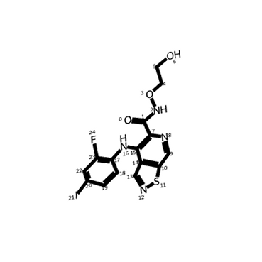 O=C(NOCCO)c1ncc2sncc2c1Nc1ccc(I)cc1F